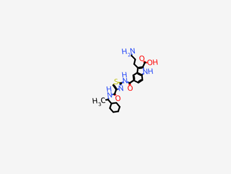 CC(NC(=O)c1csc(NC(=O)c2ccc3[nH]c(C(=O)O)c(CCCN)c3c2)n1)C1CCCCC1